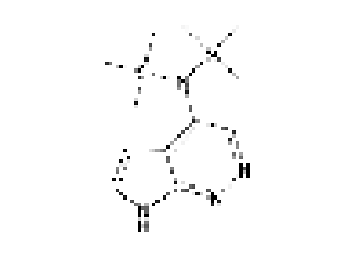 C[Si](C)(C)N(c1cnnc2[nH]ccc12)[Si](C)(C)C